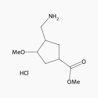 COC(=O)C1CC(CN)C(OC)C1.Cl